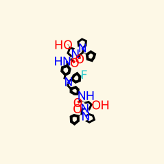 O=C(Nc1ccc(CN(Cc2ccc(NC(=O)[C@@H]3C[C@H](O)CN3C(=O)[C@@H](c3ccccc3)N3CCCCC3)cc2)c2ccc(F)cc2)cc1)[C@@H]1C[C@H](O)CN1C(=O)[C@@H](c1ccccc1)N1CCCCC1